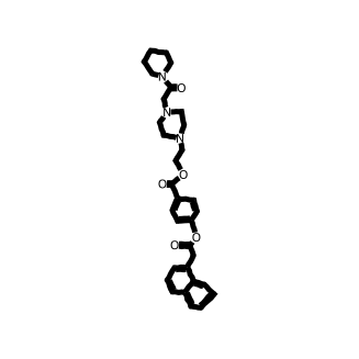 O=C(Cc1cccc2ccccc12)Oc1ccc(C(=O)OCCN2CCN(CC(=O)N3CCCCC3)CC2)cc1